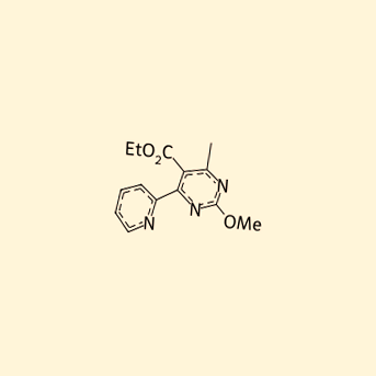 CCOC(=O)c1c(C)nc(OC)nc1-c1ccccn1